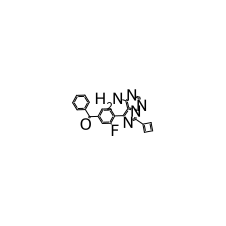 Nc1ncnn2c(C3=CC=C3)nc(-c3ccc(C(=O)c4ccccc4)cc3F)c12